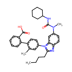 CCCCc1nc2ccc(N(C)C(=O)NC3CCCCC3)cc2n1-c1ccc(-c2ccccc2C(=O)O)c(C)c1